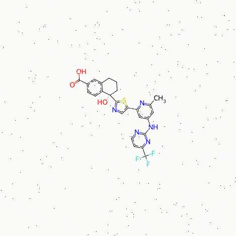 Cc1cc(Nc2nccc(C(F)(F)F)n2)cc(-c2cnc([C@]3(O)CCCc4cc(C(=O)O)ccc43)s2)n1